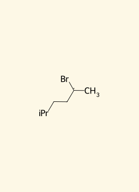 C[C](Br)CCC(C)C